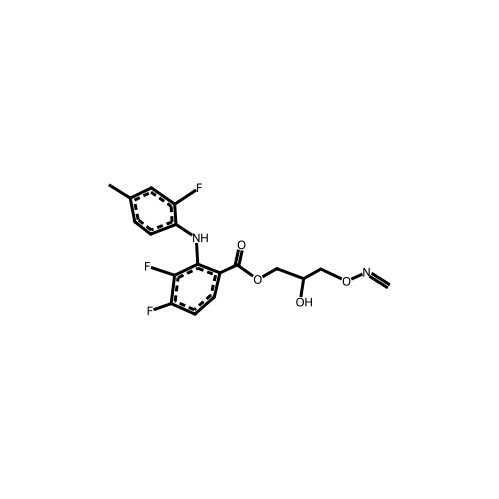 C=NOCC(O)COC(=O)c1ccc(F)c(F)c1Nc1ccc(C)cc1F